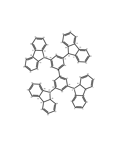 C1=CC2c3ccccc3N(c3cc(-c4cc(C5c6ccccc6-c6ccccc65)cc(-n5c6ccccc6c6ccccc65)c4)cc(N4c5ccccc5C5C=CC=CC54)c3)C2C=C1